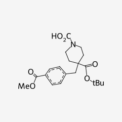 COC(=O)c1ccc(CC2(C(=O)OC(C)(C)C)CCN(C(=O)O)CC2)cc1